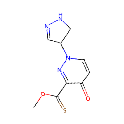 COC(=S)c1nn(C2C=NNC2)ccc1=O